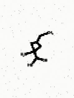 CCC1CC(N)(C(O)O)C1